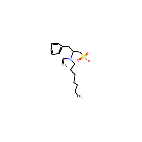 C=CN(CCCCCCC)C(Cc1ccccc1)CS(=O)(=O)O